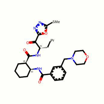 CSc1nnc(C(=O)[C@H](CC(C)C)NC(=O)[C@@H]2CCCC[C@@H]2NC(=O)c2cccc(CN3CCOCC3)c2)o1